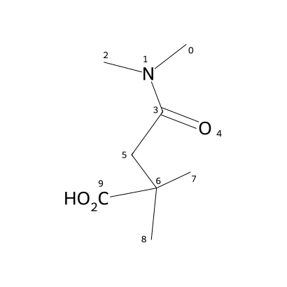 CN(C)C(=O)CC(C)(C)C(=O)O